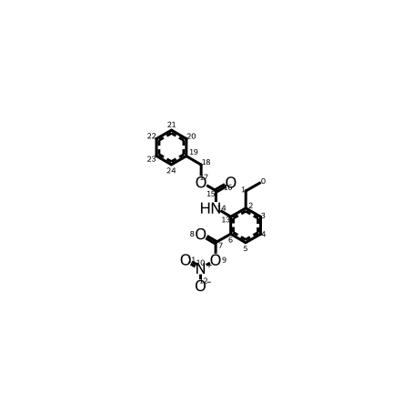 CCc1cccc(C(=O)O[N+](=O)[O-])c1NC(=O)OCc1ccccc1